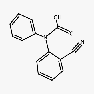 N#Cc1ccccc1N(C(=O)O)c1ccccc1